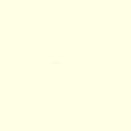 CC(C)(C)[S+]([O-])NC(CC(=O)CC(=O)O)(c1ccsc1)c1cccc(Br)c1